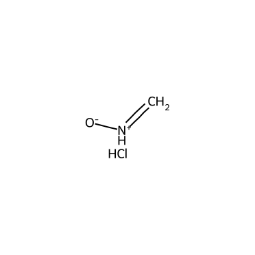 C=[NH+][O-].Cl